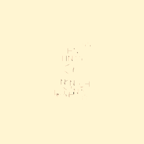 C[C@H]1COCCN1c1nc(-c2ccc(NC(=O)NC3COC3)cc2)nc2c1[C@@H]1CC[C@H](C2)O1